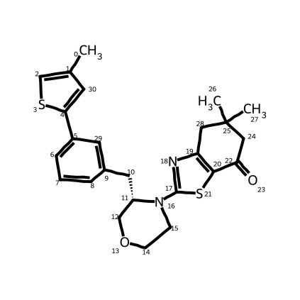 Cc1csc(-c2cccc(C[C@H]3COCCN3c3nc4c(s3)C(=O)CC(C)(C)C4)c2)c1